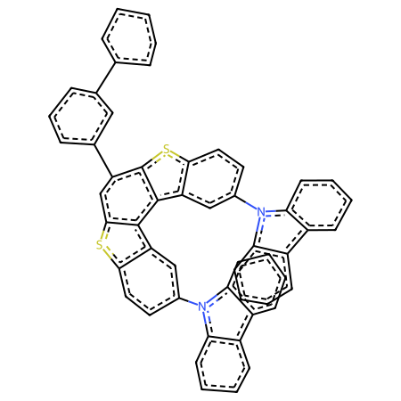 c1ccc(-c2cccc(-c3cc4sc5ccc(-n6c7ccccc7c7ccccc76)cc5c4c4c3sc3ccc(-n5c6ccccc6c6ccccc65)cc34)c2)cc1